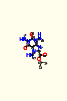 CNn1c(=O)c2c(nc(C(=O)OC(C)C)n2NC)n(NC)c1=O